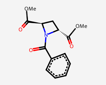 COC(=O)[C@H]1C[C@H](C(=O)OC)N1C(=O)c1ccccc1